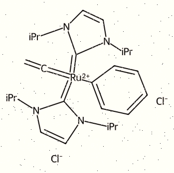 C=[C]=[Ru+2]([c]1ccccc1)(=[c]1n(C(C)C)ccn1C(C)C)=[c]1n(C(C)C)ccn1C(C)C.[Cl-].[Cl-]